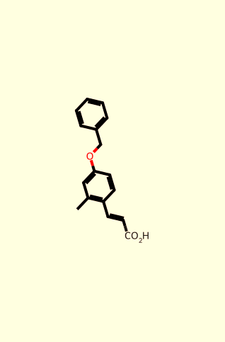 Cc1cc(OCc2ccccc2)ccc1/C=C/C(=O)O